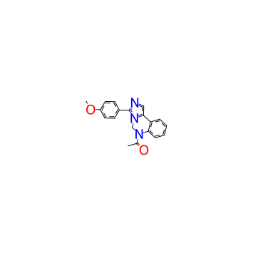 COc1ccc(-c2ncc3n2CN(C(C)=O)c2ccccc2-3)cc1